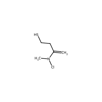 C=C(CCS)N(C)Cl